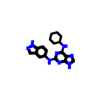 c1nc2c(NC3CCCCC3)nc(Nc3ccc4[nH]ncc4c3)nc2[nH]1